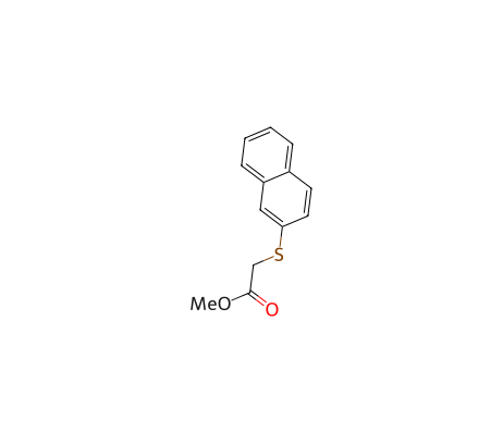 COC(=O)CSc1ccc2ccccc2c1